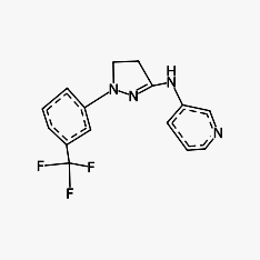 FC(F)(F)c1cccc(N2CCC(Nc3cccnc3)=N2)c1